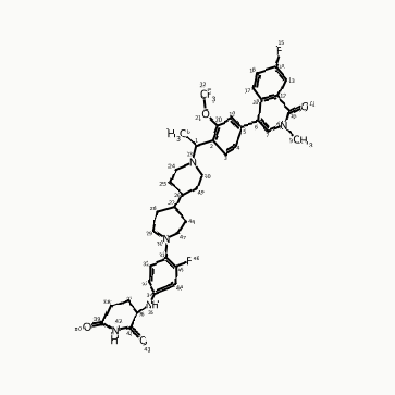 CC(c1ccc(-c2cn(C)c(=O)c3cc(F)ccc23)cc1OC(F)(F)F)N1CCC(C2CCN(c3ccc(NC4CCC(=O)NC4=O)cc3F)CC2)CC1